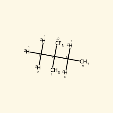 [2H]C([2H])([2H])C(C)(C([2H])([2H])C)C(F)(F)F